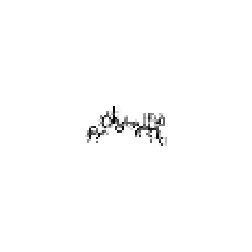 COC(=O)c1cc(Cl)ccc1NC(=O)COCC(=O)Nc1cccc(Cc2ccco2)c1